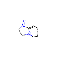 C1=CCN2CCNC2=C1